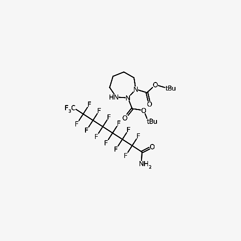 CC(C)(C)OC(=O)N1CCCCNN1C(=O)OC(C)(C)C.NC(=O)C(F)(F)C(F)(F)C(F)(F)C(F)(F)C(F)(F)C(F)(F)C(F)(F)F